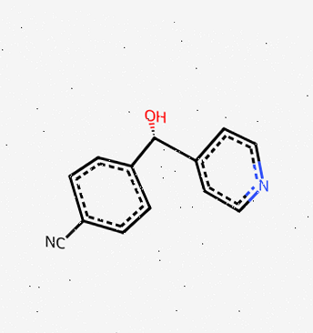 N#Cc1ccc([C@H](O)c2ccncc2)cc1